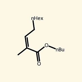 CCCCCCCC=C(C)C(=O)OCCCC